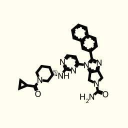 NC(=O)N1Cc2nc(-c3ccc4ccccc4c3)n(-c3ccnc(N[C@H]4CCCN(C(=O)C5CC5)C4)n3)c2C1